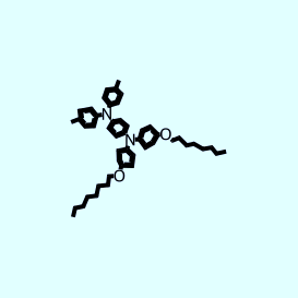 CCCCCCCCOc1ccc(N(c2ccc(OCCCCCCCC)cc2)c2ccc(N(c3ccc(C)cc3)c3ccc(C)cc3)cc2)cc1